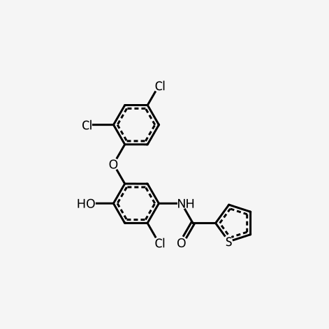 O=C(Nc1cc(Oc2ccc(Cl)cc2Cl)c(O)cc1Cl)c1cccs1